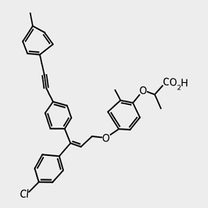 Cc1ccc(C#Cc2ccc(/C(=C\COc3ccc(OC(C)C(=O)O)c(C)c3)c3ccc(Cl)cc3)cc2)cc1